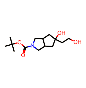 CC(C)(C)OC(=O)N1CC2CC(O)(CCO)CC2C1